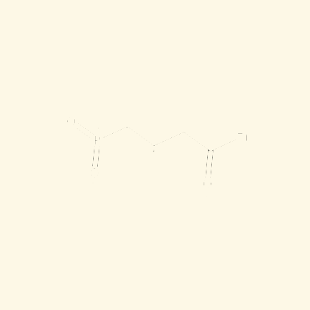 CCC(=O)CCCP(=O)=O